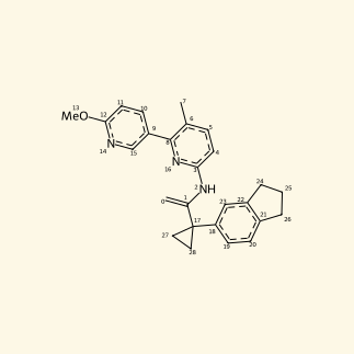 C=C(Nc1ccc(C)c(-c2ccc(OC)nc2)n1)C1(c2ccc3c(c2)CCC3)CC1